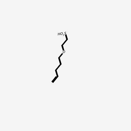 C=CCCCOCCS(=O)(=O)O